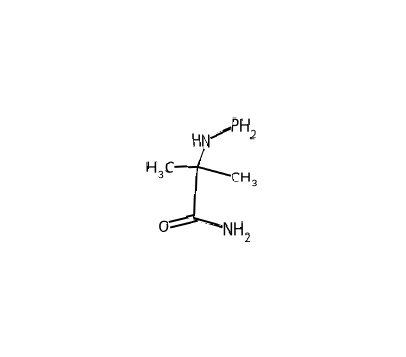 CC(C)(NP)C(N)=O